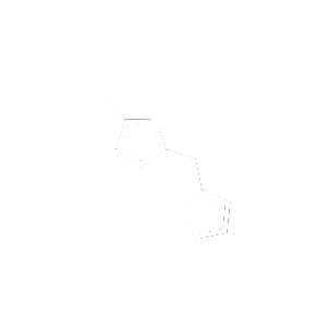 CCc1ccc(Cc2ccco2)o1